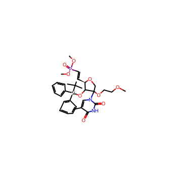 COCCOC1(n2cc(C)c(=O)[nH]c2=O)CO[C@H](/C=C/P(=O)(OC)OC)C1O[Si](c1ccccc1)(c1ccccc1)C(C)(C)C